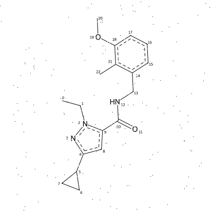 CCn1nc(C2CC2)cc1C(=O)NCc1cccc(OC)c1C